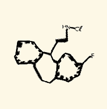 Fc1ccc2c(c1)C(CCNCl)c1ccccc1CC2